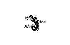 COc1cc(C(=O)N2CC(F)(F)C[C@H]2C(=O)N2CCC[C@H]2C#N)cc(OC)c1OC1OC1c1ccccc1